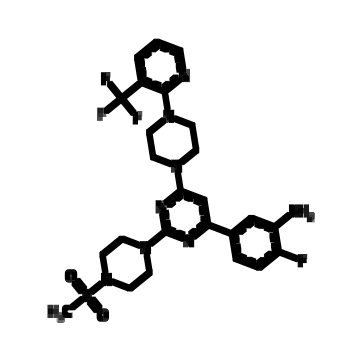 CS(=O)(=O)N1CCN(c2nc(-c3ccc(F)c(N)c3)cc(N3CCN(c4ncccc4C(F)(F)F)CC3)n2)CC1